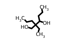 CCCC(O)C(CC)(CO)CCC